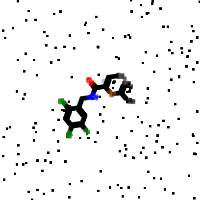 C=C(S/C(=C\C)C(=O)NCc1cc(F)c(Br)cc1Cl)C(C)(C)C